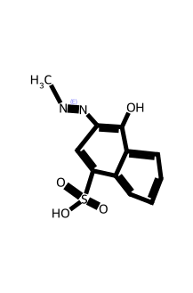 C/N=N/c1cc(S(=O)(=O)O)c2ccccc2c1O